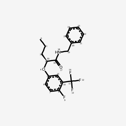 CCC[C@H](Oc1ccc(F)c(C(F)(F)F)c1)C(=O)NCc1ccccc1